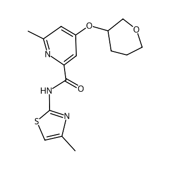 Cc1cc(OC2CCCOC2)cc(C(=O)Nc2nc(C)cs2)n1